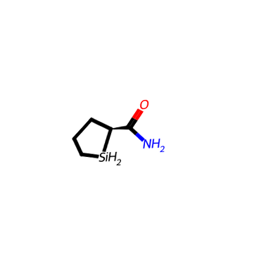 NC(=O)[C@@H]1CCC[SiH2]1